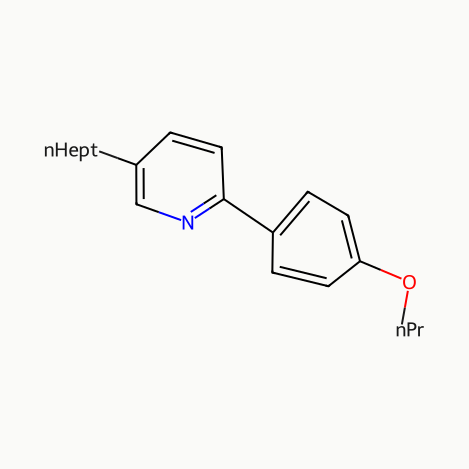 CCCCCCCc1ccc(-c2ccc(OCCC)cc2)nc1